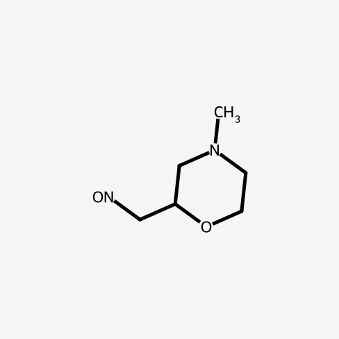 CN1CCOC(CN=O)C1